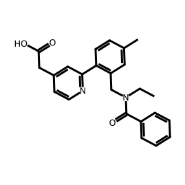 CCN(Cc1cc(C)ccc1-c1cc(CC(=O)O)ccn1)C(=O)c1ccccc1